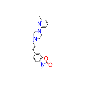 Cc1cccc(N2CCN(CC=Cc3ccc4c(c3)oc(=O)n4C)CC2)n1